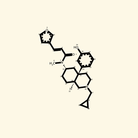 CN(C(=O)/C=C/c1ccoc1)[C@H]1CC[C@@H]2CN(CC3CC3)CC[C@@]2(c2cccc(O)c2)C1